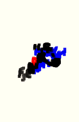 Cc1cnc2nc1Nc1ccc(NC(=O)Nc3cccc(C(F)(F)F)c3)c(c1)CCc1cccc(c1)N2